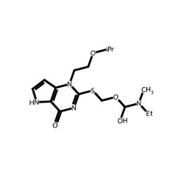 CCN(C)C(O)OCSc1nc(=O)c2[nH]ccc2n1CCOC(C)C